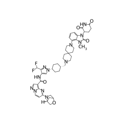 Cn1c(=O)n(C2CCC(=O)NC2=O)c2cccc(N3CCC4(CCN(C[C@H]5CC[C@@H](n6cc(NC(=O)c7cnn8ccc(N9CC%10C[C@@H]9CO%10)nc78)c(C(F)F)n6)CC5)CC4)CC3)c21